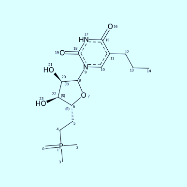 C=P(C)(C)CC[C@H]1OC(n2cc(CCC)c(=O)[nH]c2=O)[C@H](O)[C@@H]1O